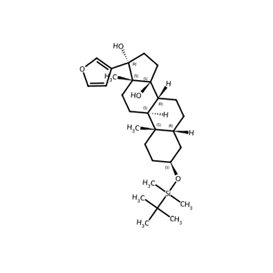 CC(C)(C)[Si](C)(C)O[C@H]1CC[C@@]2(C)[C@H](CC[C@@H]3[C@@H]2CC[C@]2(C)[C@@](O)(c4ccoc4)CC[C@]32O)C1